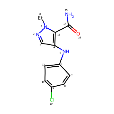 CCn1ncc(Nc2ccc(Cl)cc2)c1C(N)=O